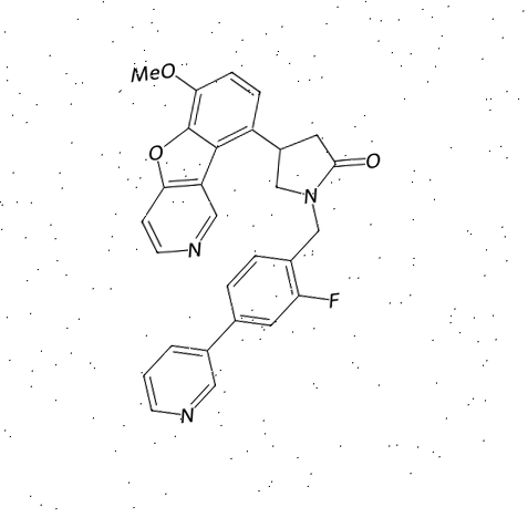 COc1ccc(C2CC(=O)N(Cc3ccc(-c4cccnc4)cc3F)C2)c2c1oc1ccncc12